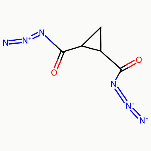 [N-]=[N+]=NC(=O)C1CC1C(=O)N=[N+]=[N-]